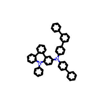 c1ccc(-c2ccc(N(c3ccc(-c4cccc(-c5ccccc5)c4)cc3)c3ccc4c(c3)-c3ccccc3-c3ccccc3N4c3ccccc3)cc2)cc1